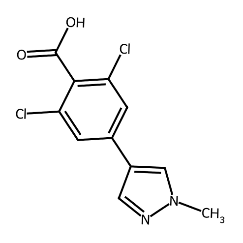 Cn1cc(-c2cc(Cl)c(C(=O)O)c(Cl)c2)cn1